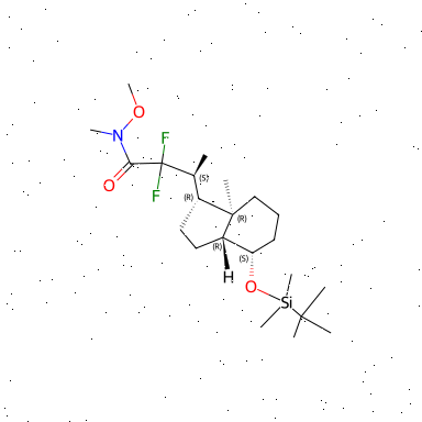 CON(C)C(=O)C(F)(F)[C@@H](C)[C@H]1CC[C@H]2[C@@H](O[Si](C)(C)C(C)(C)C)CCC[C@]12C